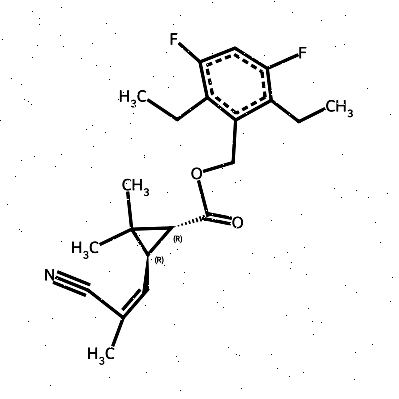 CCc1c(F)cc(F)c(CC)c1COC(=O)[C@@H]1[C@@H](C=C(C)C#N)C1(C)C